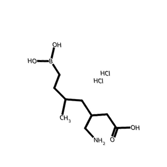 CC(CCB(O)O)CC(CN)CC(=O)O.Cl.Cl